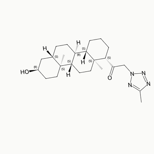 Cc1nnn(CC(=O)[C@H]2CCC[C@H]3[C@@H]4CC[C@H]5C[C@H](O)CC[C@]5(C)[C@H]4CC[C@]23C)n1